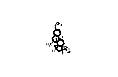 COC1=CCC2=C(C1)C[C@@H](C)[C@@H]1[C@@H]2CC[C@]2(C)[C@](F)(CO)C[C@H]3C[C@@]312